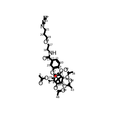 CC(=O)OC[C@H]1O[C@@H](Oc2ccc(C(=O)NCCOCCCN=[N+]=[N-])cc2O[Si](C)(C)C(C)(C)C)[C@H](OC(C)=O)[C@@H](OC(C)=O)[C@H]1OC(C)=O